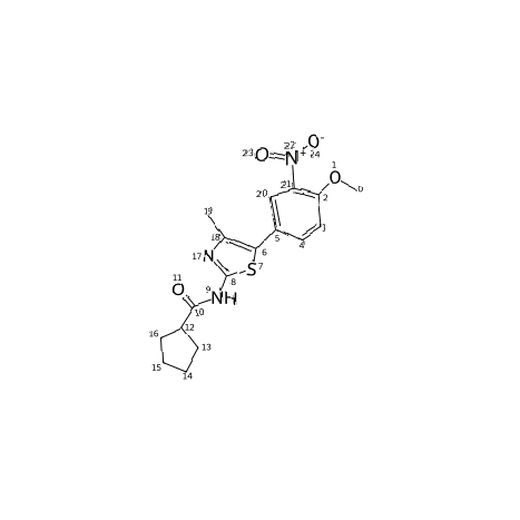 COc1ccc(-c2sc(NC(=O)C3CCCC3)nc2C)cc1[N+](=O)[O-]